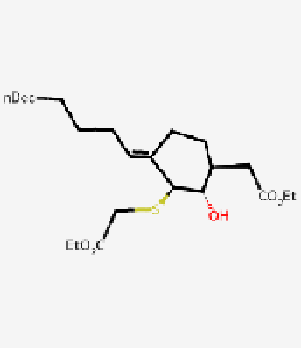 CCCCCCCCCCCCCC=C1CC[C@@H](CC(=O)OCC)[C@H](O)[C@H]1SCC(=O)OCC